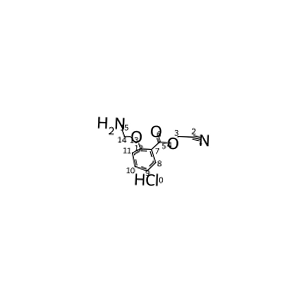 Cl.N#CCOC(=O)c1ccccc1OCN